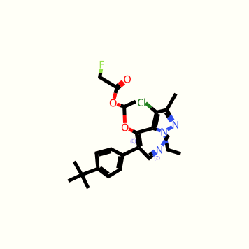 CCn1nc(C)c(Cl)c1/C(OC(C)OC(=O)CF)=C(\C=N/C)c1ccc(C(C)(C)C)cc1